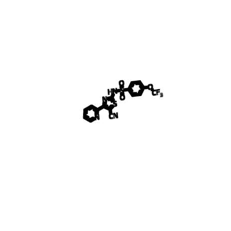 N#Cc1sc(NS(=O)(=O)c2ccc(OC(F)(F)F)cc2)nc1-c1ccccn1